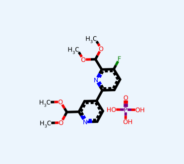 COC(OC)c1cc(-c2ccc(F)c(C(OC)OC)n2)ccn1.O=P(O)(O)O